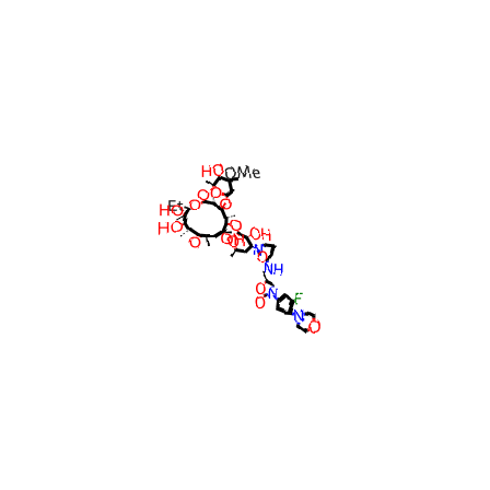 CC[C@H]1OC(=O)[C@H](C)[C@@H](O[C@@H]2C[C@@](C)(OC)[C@@H](O)[C@H](C)O2)[C@H](C)[C@@H](O[C@@H]2O[C@H](C)C[C@H](N(C)C/C=C\C(=O)NC[C@H]3CN(c4ccc(N5CCOCC5)c(F)c4)C(=O)O3)[C@H]2O)[C@](C)(O)C[C@@H](C)C(=O)[C@H](C)[C@@H](O)[C@]1(C)O